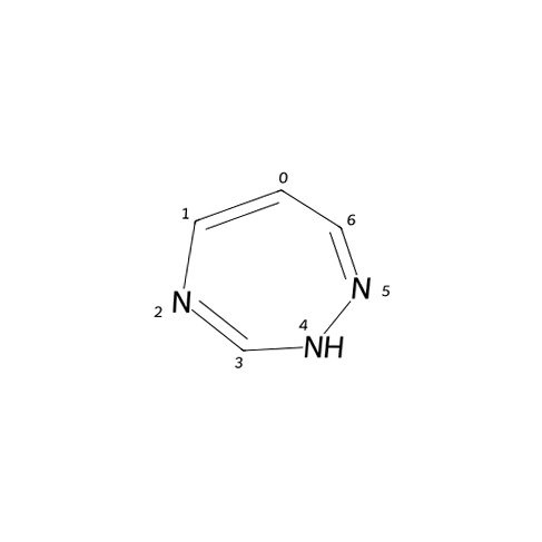 C1=CN=CNN=C1